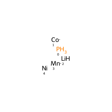 P.[Co].[LiH].[Mn].[Ni]